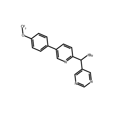 CC(C)(C)C(c1cncnc1)c1ccc(-c2ccc(OC(F)(F)F)cc2)cn1